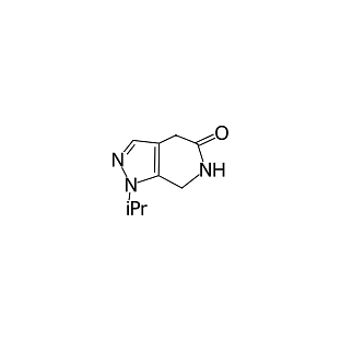 CC(C)n1ncc2c1CNC(=O)C2